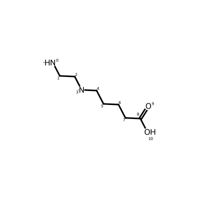 [NH]CC[N]CCCCC(=O)O